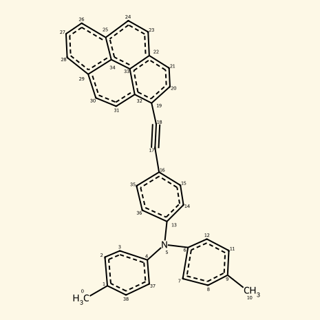 Cc1ccc(N(c2ccc(C)cc2)c2ccc(C#Cc3ccc4ccc5cccc6ccc3c4c56)cc2)cc1